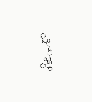 Cc1ccc(N(C)C(=O)CCN2CCC(OC(=O)Nc3ccccc3-c3ccccc3)CC2)cc1